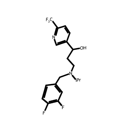 CC(C)N(CCC(O)c1ccc(C(F)(F)F)nc1)Cc1ccc(F)c(F)c1